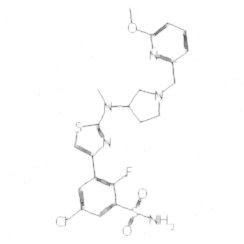 COc1cccc(CN2CCC(N(C)c3nc(-c4cc(Cl)cc(S(N)(=O)=O)c4F)cs3)C2)n1